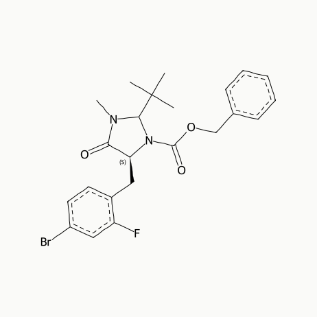 CN1C(=O)[C@H](Cc2ccc(Br)cc2F)N(C(=O)OCc2ccccc2)C1C(C)(C)C